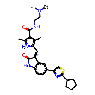 CCN(CC)CCNC(=O)c1c(C)[nH]c(/C=C2\C(=O)Nc3ccc(-c4csc(C5CCCC5)n4)cc32)c1C